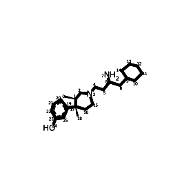 C[C@H]1CN(CCC(N)CC2CCCCC2)CC[C@]1(C)c1cccc(O)c1